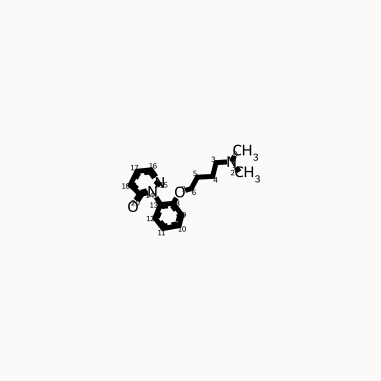 CN(C)CCCCOc1ccccc1-n1ncccc1=O